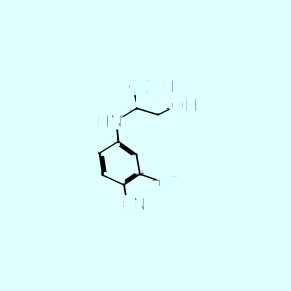 N#Cc1ccc(N[C@H](CO)C(=O)O)cc1C(F)(F)F